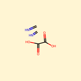 C=N.C=N.O=C(O)C(=O)O